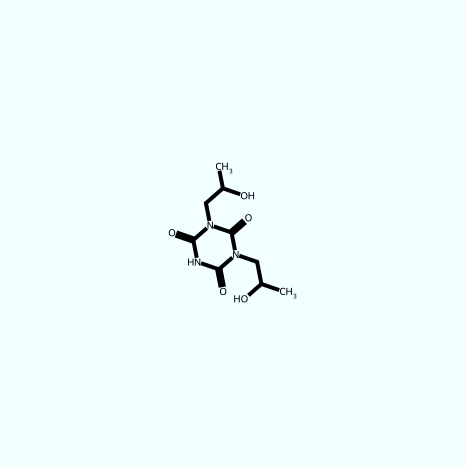 CC(O)Cn1c(=O)[nH]c(=O)n(CC(C)O)c1=O